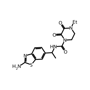 CCN1CCN(C(=O)NC(C)c2ccc3nc(N)sc3c2)C(=O)C1=O